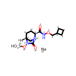 O=C(NOCC1CCC1)[C@@H]1CC[C@@H]2CN1C(=O)N2OS(=O)(=O)O.[Na]